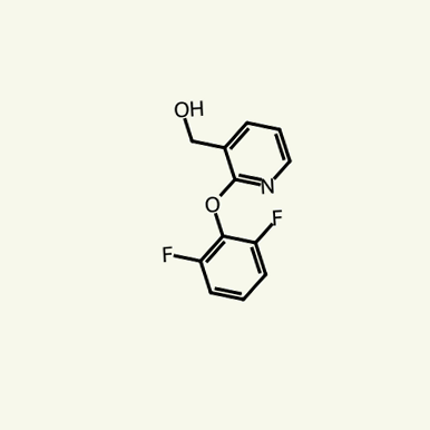 OCc1cccnc1Oc1c(F)cccc1F